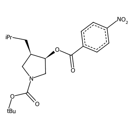 CC(C)C[C@@H]1CN(C(=O)OC(C)(C)C)C[C@@H]1OC(=O)c1ccc([N+](=O)[O-])cc1